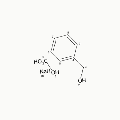 O=C(O)O.OCc1ccccc1.[NaH]